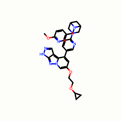 COc1ccc(CN2C3CC2CN(c2ccc(-c4cc(OCCOC5CC5)cn5nc6[nH]ncc6c45)cn2)C3)cn1